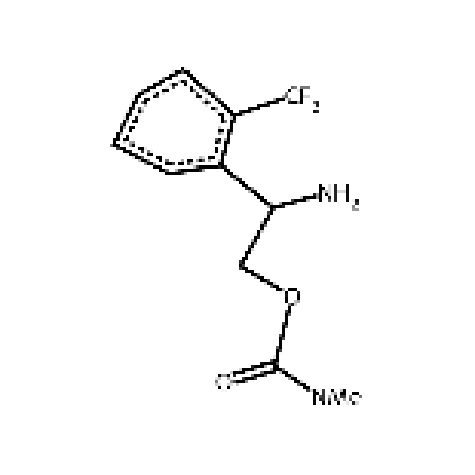 CNC(=O)OCC(N)c1ccccc1C(F)(F)F